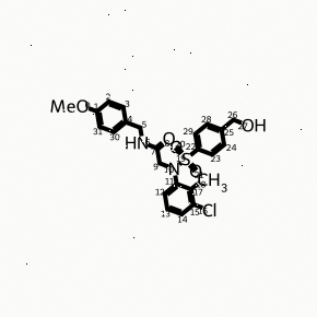 COc1ccc(CNC(=O)CN(c2cccc(Cl)c2C)S(=O)(=O)c2ccc(CO)cc2)cc1